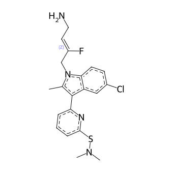 Cc1c(-c2cccc(SN(C)C)n2)c2cc(Cl)ccc2n1C/C(F)=C/CN